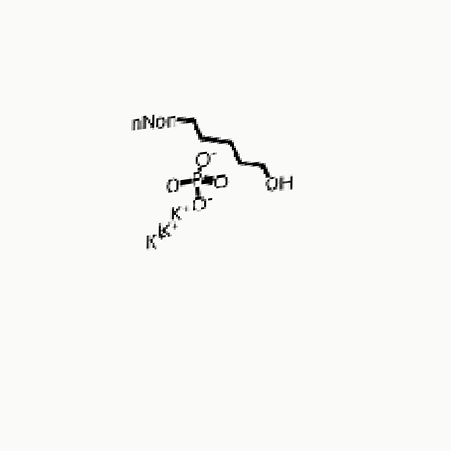 CCCCCCCCCCCCCCO.O=P([O-])([O-])[O-].[K+].[K+].[K+]